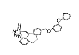 C(=C1/c2ccccc2CCc2cc(COc3cccc(Oc4ccccc4)c3)ccc21)/c1nnn[nH]1